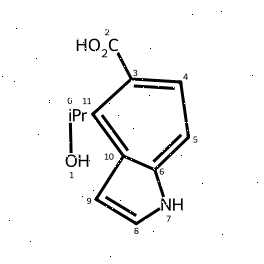 CC(C)O.O=C(O)c1ccc2[nH]ccc2c1